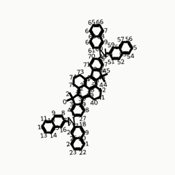 CC1(C)c2cc(N(c3ccc4ccccc4c3)c3ccc4ccccc4c3)ccc2-c2c1c1c3c(c4c(c5c3c2CCC5)C(C)(C)c2cc(N(c3ccc5ccccc5c3)c3ccc5ccccc5c3)ccc2-4)CCC1